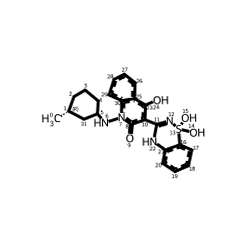 C[C@@H]1CCCC(Nn2c(=O)c(C3=NS(O)(O)c4ccccc4N3)c(O)c3ccccc32)C1